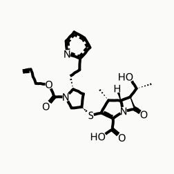 C=CCOC(=O)N1C[C@@H](SC2=C(C(=O)O)N3C(=O)[C@H]([C@@H](C)O)[C@H]3[C@H]2C)C[C@H]1CCc1ccccn1